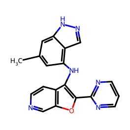 Cc1cc(Nc2c(-c3ncccn3)oc3cnccc23)c2cn[nH]c2c1